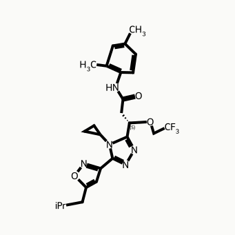 Cc1ccc(NC(=O)C[C@H](OCC(F)(F)F)c2nnc(-c3cc(CC(C)C)on3)n2C2CC2)c(C)c1